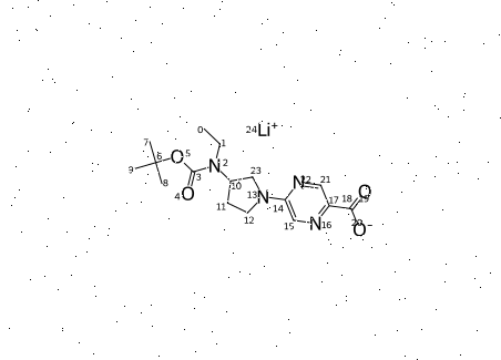 CCN(C(=O)OC(C)(C)C)C1CCN(c2cnc(C(=O)[O-])cn2)C1.[Li+]